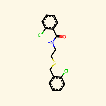 O=C(NCCSCc1ccccc1Cl)c1ccccc1Cl